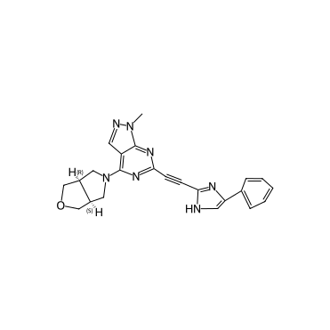 Cn1ncc2c(N3C[C@H]4COC[C@H]4C3)nc(C#Cc3nc(-c4ccccc4)c[nH]3)nc21